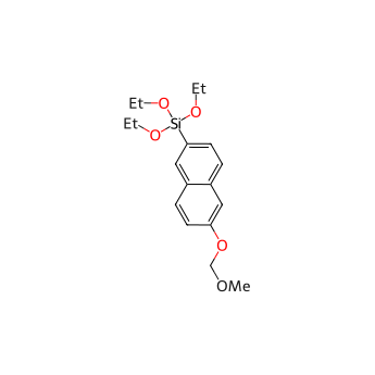 CCO[Si](OCC)(OCC)c1ccc2cc(OCOC)ccc2c1